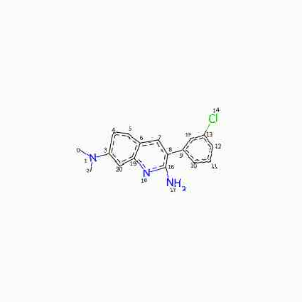 CN(C)c1ccc2cc(-c3cccc(Cl)c3)c(N)nc2c1